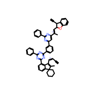 C#C/C=C\C1=C(C)C2(CCCCC2)c2cccc(-c3nc(-c4ccccc4)nc(-c4cccc(-c5cc(/C(C)=C/C6Oc7c#cccc7C6C#C)nc(-c6ccccc6)n5)c4)n3)c21